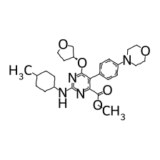 COC(=O)c1nc(NC2CCC(C)CC2)nc(O[C@H]2CCOC2)c1-c1ccc(N2CCOCC2)cc1